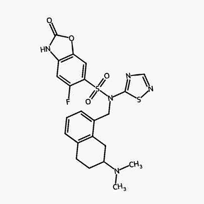 CN(C)C1CCc2cccc(CN(c3ncns3)S(=O)(=O)c3cc4oc(=O)[nH]c4cc3F)c2C1